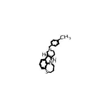 Cc1ccc(CN2CC[C@@H]3[C@H](C2)c2cccc4c2N3CCCS4)cc1